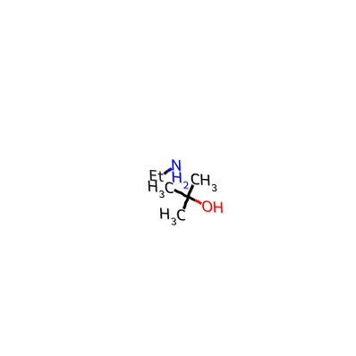 CC(C)(C)O.CCN